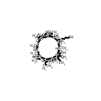 C/C=C/C[C@@H](C)[C@@H](O)[C@H]1C(=O)N[C@@H](CC)C(=O)N(C)[C@H](CSCCCCO)C(=O)N(C)[C@@H](CC(C)(C)O)C(=O)N[C@H](C(C)C)C(=O)N(C)[C@H](CC(C)C)C(=O)N[C@H](C)C(=O)N[C@@H](C)C(=O)N(C)[C@@H](CC(C)C)C(=O)N(C)[C@@H](CCC(C)C)C(=O)N(C)[C@@H](C(C)C)C(=O)N1C